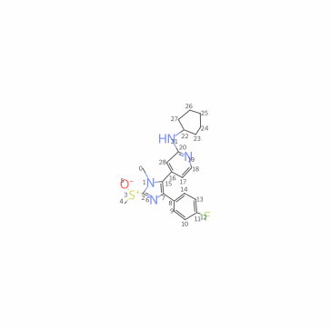 Cn1c([S+](C)[O-])nc(-c2ccc(F)cc2)c1-c1ccnc(NC2CCCCC2)c1